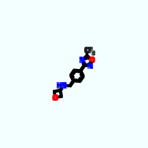 FC(F)(F)c1nc(-c2ccc(CNC3COC3)cc2)no1